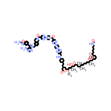 COC(CC1CCCC(C(=O)CCCCCNC=O)O1)/C(C)=C/C=C/C=C/C(C)CC(C)C(=O)CC(O)/C(C)=C/C(C)C(=O)CC(CC=O)CCC1CCC(NCc2cnc(N3CCN(c4ncc(C(=O)N5CCN(c6ncc(C(=O)N7CCc8cc(Cn9nc(-c%10ccc%11oc(N)nc%11c%10)c%10c(N)ncnc%109)ccc8C7)cn6)CC5)cn4)CC3)nc2)CC1